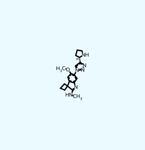 CNC1=Nc2cc(-n3cc([C@H]4CCCN4)nn3)c(OC)cc2C12CCC2